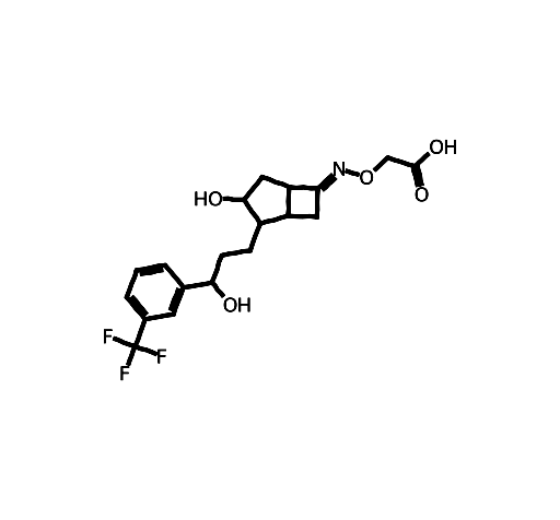 O=C(O)CON=C1CC2C1CC(O)C2CCC(O)c1cccc(C(F)(F)F)c1